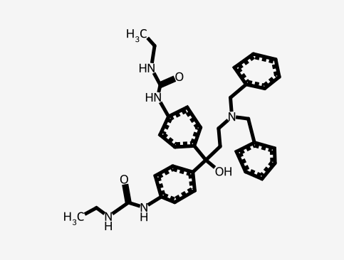 CCNC(=O)Nc1ccc(C(O)(CCN(Cc2ccccc2)Cc2ccccc2)c2ccc(NC(=O)NCC)cc2)cc1